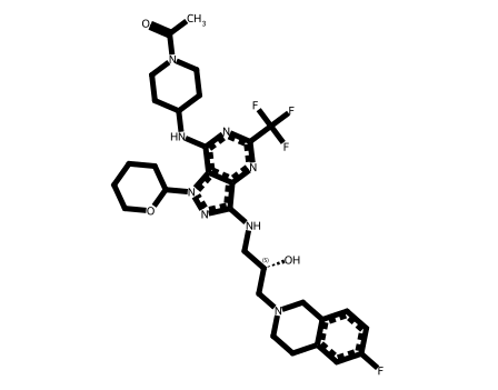 CC(=O)N1CCC(Nc2nc(C(F)(F)F)nc3c(NC[C@H](O)CN4CCc5cc(F)ccc5C4)nn(C4CCCCO4)c23)CC1